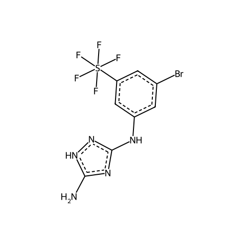 Nc1nc(Nc2cc(Br)cc(S(F)(F)(F)(F)F)c2)n[nH]1